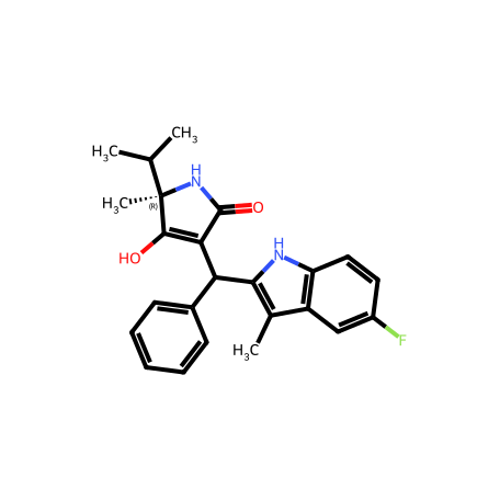 Cc1c(C(C2=C(O)[C@@](C)(C(C)C)NC2=O)c2ccccc2)[nH]c2ccc(F)cc12